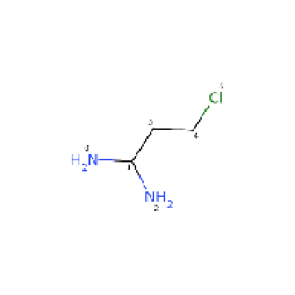 NC(N)CCCl